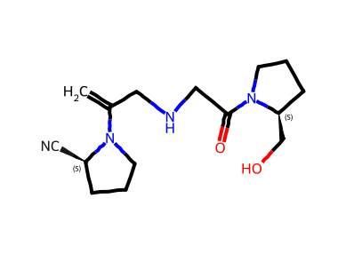 C=C(CNCC(=O)N1CCC[C@H]1CO)N1CCC[C@H]1C#N